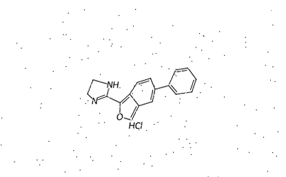 Cl.c1ccc(-c2ccc3c(C4=NCCN4)occ3c2)cc1